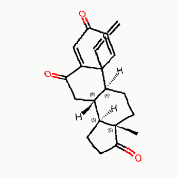 C=C=CC12C=CC(=O)C=C1C(=O)C[C@@H]1[C@@H]2CC[C@]2(C)C(=O)CC[C@@H]12